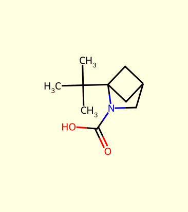 CC(C)(C)C12CC(CN1C(=O)O)C2